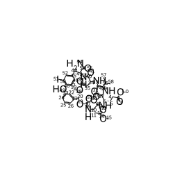 COC(=O)CC[C@H](NC(=O)[C@H](CC(=O)OC)NC(=O)OCc1ccccc1)C(=O)N[C@H](C(=O)N[C@@H](CC(=O)OC)C(=O)N[C@@H](Cc1ccc(O)c(I)c1)C(N)=O)C(C)C